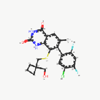 Cc1cc2c(=O)[nH]c(=O)[nH]c2c(SCC2(CO)CCC2)c1-c1cc(Cl)c(F)cc1F